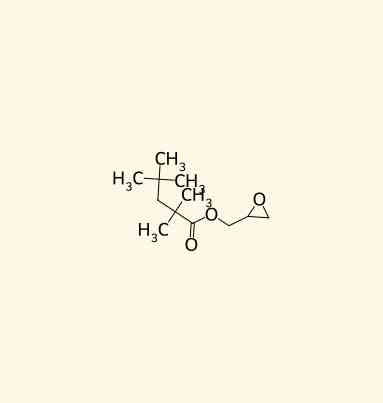 CC(C)(C)CC(C)(C)C(=O)OCC1CO1